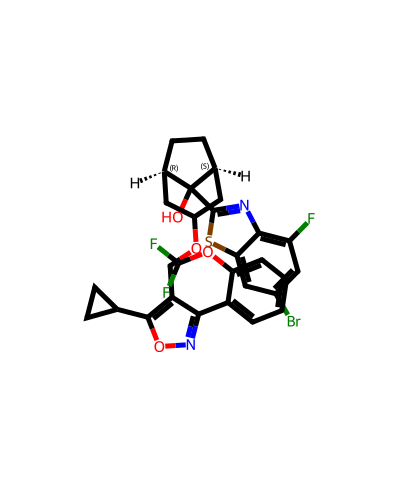 OC1(c2nc3c(F)cc(Br)cc3s2)[C@@H]2CC[C@H]1CC(OCc1c(-c3ccccc3OC(F)F)noc1C1CC1)C2